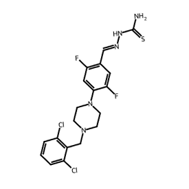 NC(=S)NN=Cc1cc(F)c(N2CCN(Cc3c(Cl)cccc3Cl)CC2)cc1F